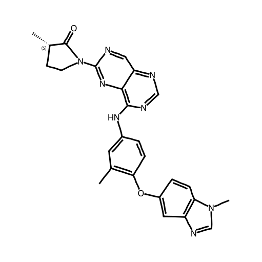 Cc1cc(Nc2ncnc3cnc(N4CC[C@H](C)C4=O)nc23)ccc1Oc1ccc2c(c1)ncn2C